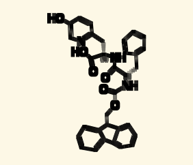 O=C(N[C@@H](Cc1ccccc1)C(=O)N[C@@H](Cc1ccc(O)cn1)C(=O)O)OCC1c2ccccc2-c2ccccc21